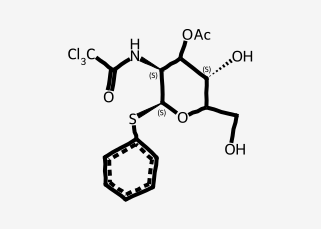 CC(=O)OC1[C@H](O)C(CO)O[C@@H](Sc2ccccc2)[C@H]1NC(=O)C(Cl)(Cl)Cl